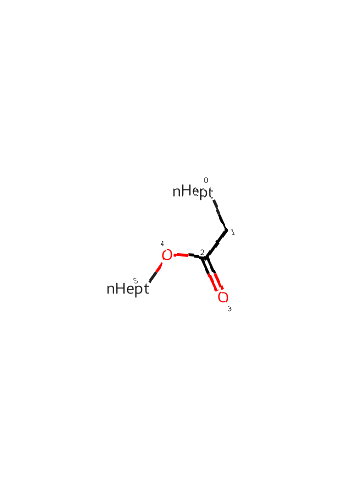 [CH2]CCCCCCCC(=O)OCCCCCCC